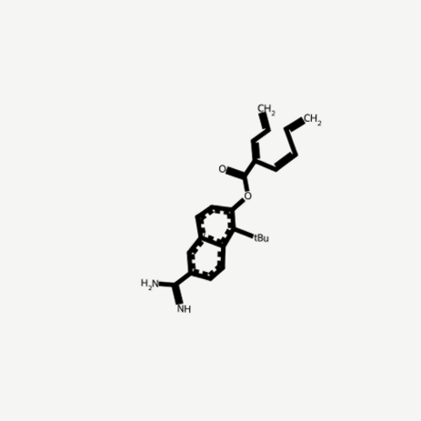 C=C/C=C\C(=C/C=C)C(=O)Oc1ccc2cc(C(=N)N)ccc2c1C(C)(C)C